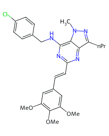 CCCc1nn(C)c2c(NCc3ccc(Cl)cc3)nc(C=Cc3cc(OC)c(OC)c(OC)c3)nc12